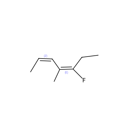 C/C=C\C(C)=C(\F)CC